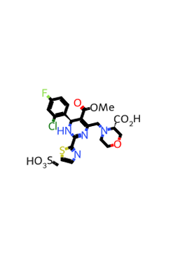 COC(=O)C1=C(CN2CCOC[C@H]2C(=O)O)N=C(c2nccs2)N[C@H]1c1ccc(F)cc1Cl.CS(=O)(=O)O